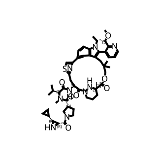 CCn1c(-c2cccnc2[C@H](C)OC)c2c3cc(ccc31)-c1csc(n1)C[C@H](NC(=O)[C@H](C(C)C)N(C)C(=O)[C@@H]1CCN(C(=O)[C@@H]3N[C@@H]3C3CC3)C1)C(=O)N1CCC[C@H](N1)C(=O)OCC(C)(C)C2